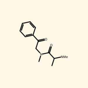 CNC(C)C(=O)N(C)CC(=O)c1ccccc1